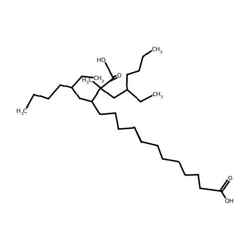 CCCCC(CC)CC(CCCCCCCCCCCC(=O)O)C(C)(CC(CC)CCCC)C(=O)O